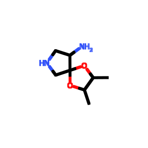 CC1OC2(CNCC2N)OC1C